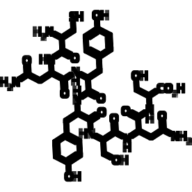 NC(=O)CC(NC(=O)C(N)CS)C(=O)NC(Cc1ccc(O)cc1)C(=O)NC(Cc1ccc(O)cc1)C(=O)NC(CO)C(=O)NC(CC(N)=O)C(=O)NC(CO)C(=O)O